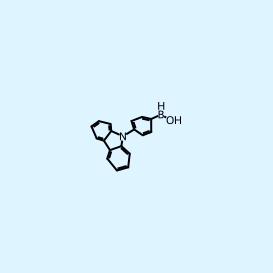 OBc1ccc(-n2c3ccccc3c3ccccc32)cc1